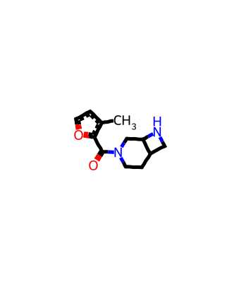 Cc1ccoc1C(=O)N1CCC2CNC2C1